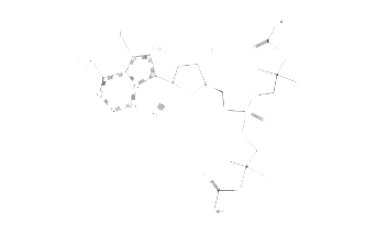 CC(C)(COP(=O)(OC[C@H]1O[C@@](C#N)(c2cc(I)c3c(N)ncnn23)[C@H](O)[C@@H]1O)OCC(C)(C)OC(=O)O)OC(=O)O